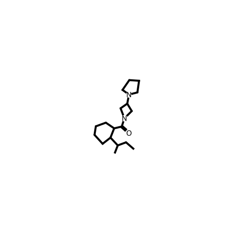 CCC(C)C1CCCCC1C(=O)N1CC(N2CCCC2)C1